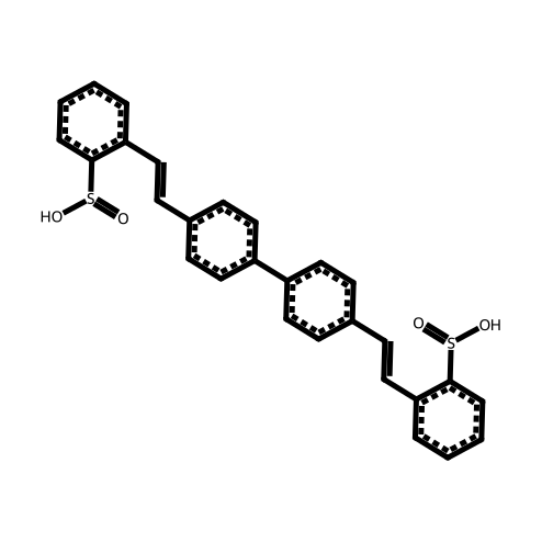 O=S(O)c1ccccc1C=Cc1ccc(-c2ccc(C=Cc3ccccc3S(=O)O)cc2)cc1